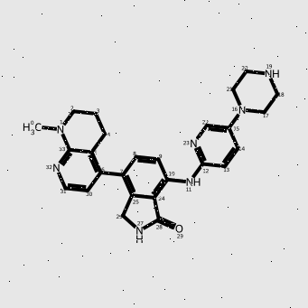 CN1CCCc2c(-c3ccc(Nc4ccc(N5CCNCC5)cn4)c4c3CNC4=O)ccnc21